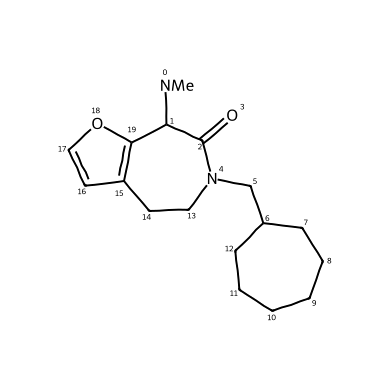 CNC1C(=O)N(CC2CCCCCC2)CCc2ccoc21